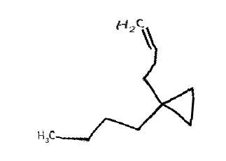 C=CCC1(CCCC)CC1